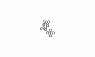 C1=CC2Nc3c(-c4ccc5c(c4)C(c4ccccc4)(c4ccccc4)c4ccccc4-5)cc(-c4ccc5c(c4)C(c4ccccc4)(c4ccccc4)c4ccccc4-5)cc3N2C=C1